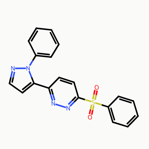 O=S(=O)(c1ccccc1)c1ccc(-c2ccnn2-c2ccccc2)nn1